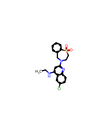 CCNc1cc(N2CCS(=O)(=O)c3ccccc3C2)nc2ccc(Cl)cc12